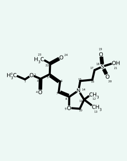 CCOC(=O)C(=CC=C1OCC(C)(C)N1CCCS(=O)(=O)O)C(C)=O